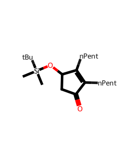 CCCCCC1=C(CCCCC)C(O[Si](C)(C)C(C)(C)C)CC1=O